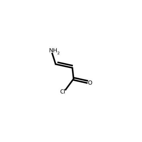 NC=CC(=O)Cl